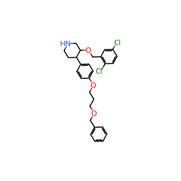 Clc1ccc(Cl)c(COC2CNCCC2c2ccc(OCCCOCc3ccccc3)cc2)c1